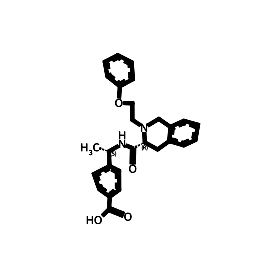 C[C@H](NC(=O)[C@H]1Cc2ccccc2CN1CCOc1ccccc1)c1ccc(C(=O)O)cc1